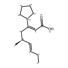 CCC=C[C@@H](C)CC(=CC(=O)O)N1CCCC1